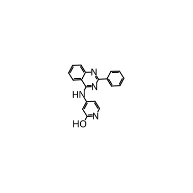 Oc1cc(Nc2nc(-c3ccccc3)nc3ccccc23)ccn1